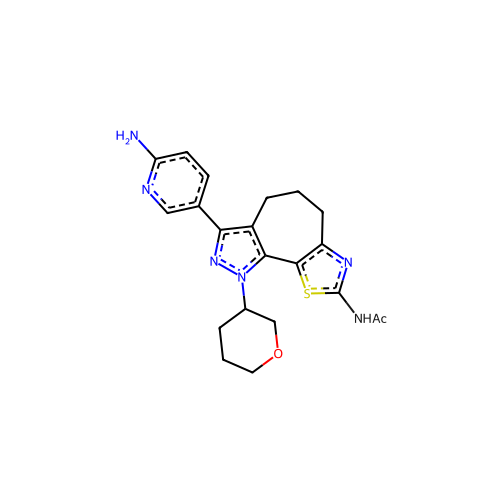 CC(=O)Nc1nc2c(s1)-c1c(c(-c3ccc(N)nc3)nn1C1CCCOC1)CCC2